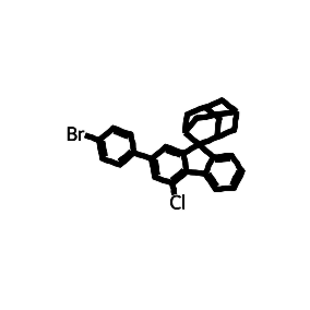 Clc1cc(-c2ccc(Br)cc2)cc2c1-c1ccccc1C21C2CC3CC(C2)CC1C3